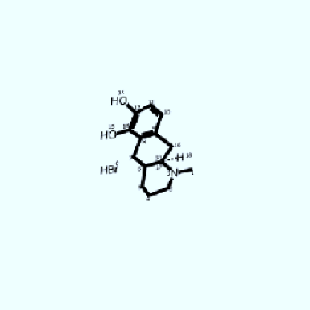 Br.CN1CCCC2Cc3c(ccc(O)c3O)C[C@H]21